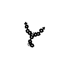 CC(C)(C)c1ccc(-c2ccc3cc4c5cc(-c6ccc7oc8ccccc8c7c6)cc6c7cc8ccc(-c9ccc(C(C)(C)C)cc9)cc8cc7n(c4cc3c2)c56)cc1